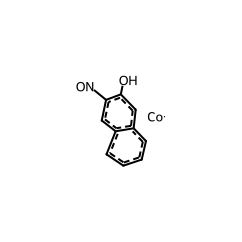 O=Nc1cc2ccccc2cc1O.[Co]